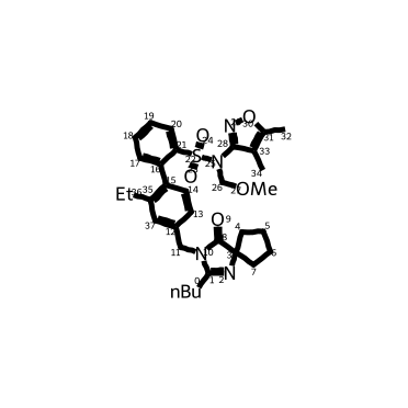 CCCCC1=NC2(CCCC2)C(=O)N1Cc1ccc(-c2ccccc2S(=O)(=O)N(COC)c2noc(C)c2C)c(CC)c1